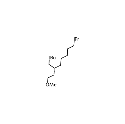 COCC[C@@H](CCCCCC(C)C)CC(C)(C)C